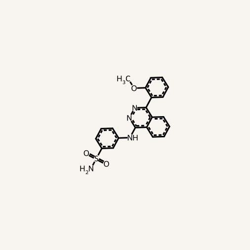 COc1ccccc1-c1nnc(Nc2cccc(S(N)(=O)=O)c2)c2ccccc12